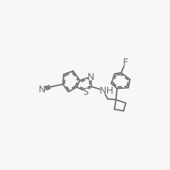 N#Cc1ccc2nc(NCC3(c4ccc(F)cc4)CCC3)sc2c1